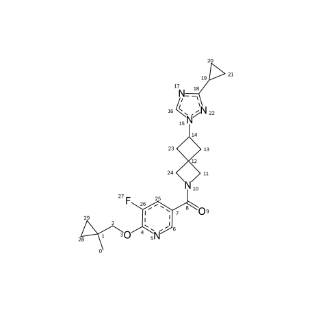 CC1(COc2ncc(C(=O)N3CC4(CC(n5cnc(C6CC6)n5)C4)C3)cc2F)CC1